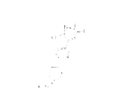 CCCCC[C@H]1CC[C@H](c2ccc(-c3cc(F)c(F)nc3Cl)cc2)CC1